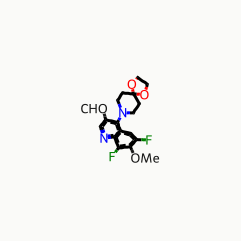 COc1c(F)cc2c(N3CCC4(CC3)OCCO4)c(C=O)cnc2c1F